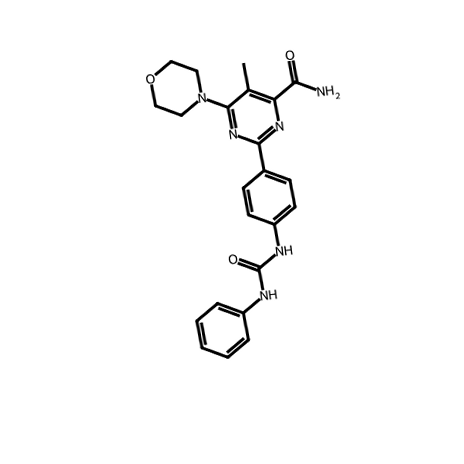 Cc1c(C(N)=O)nc(-c2ccc(NC(=O)Nc3ccccc3)cc2)nc1N1CCOCC1